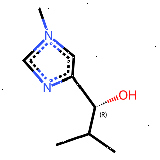 CC(C)[C@@H](O)c1cn(C)cn1